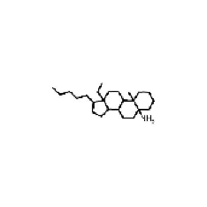 CCCCCC1CCC2C3CCC4(N)CCCCC4(C)C3CCC12CC